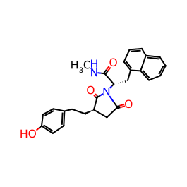 CNC(=O)[C@H](Cc1cccc2ccccc12)N1C(=O)C[C@@H](CCc2ccc(O)cc2)C1=O